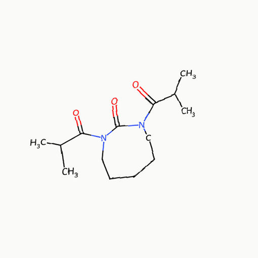 CC(C)C(=O)N1CCCCCN(C(=O)C(C)C)C1=O